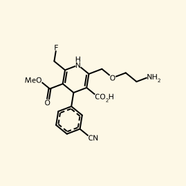 COC(=O)C1=C(CF)NC(COCCN)=C(C(=O)O)C1c1cccc(C#N)c1